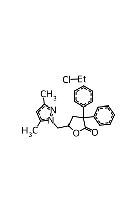 CCCl.Cc1cc(C)n(CC2CC(c3ccccc3)(c3ccccc3)C(=O)O2)n1